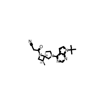 C[C@H]1CN(C(=O)CC#N)[C@]12CCN(c1ncnc3c1ccn3C(C)(C)C)C2